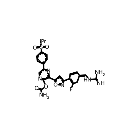 CC(C)S(=O)(=O)c1ccc(-c2cnc(OC(N)=O)c(-c3cc(C4=C(F)CC(=CNC(=N)N)C=C4)no3)n2)cc1